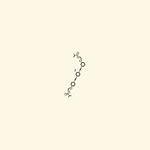 C=C(C)C(=O)O/C=C\Oc1ccc(C#Cc2ccc(C#Cc3cccc(O/C=C\OC(=O)C(=C)C)c3)c(F)c2)cc1